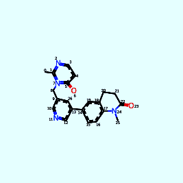 Cc1nccc(=O)n1Cc1cncc(-c2ccc3c(c2)CCC(=O)N3C)c1